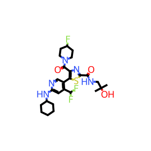 CC(C)(O)CNC(=O)c1nc(C(=O)N2CCC(F)CC2)c(-c2cnc(NC3CCCCC3)cc2C(F)F)s1